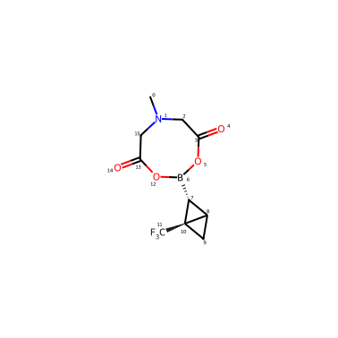 CN1CC(=O)OB([C@@H]2C3C[C@@]32C(F)(F)F)OC(=O)C1